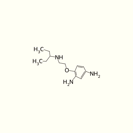 CCC(CC)NCCOc1ccc(N)cc1N